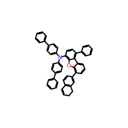 C1=Cc2ccc(-c3cccc4c3oc3c(N(c5ccc(-c6ccccc6)cc5)c5ccc(-c6ccccc6)cc5)ccc(-c5ccccc5)c34)cc2CC1